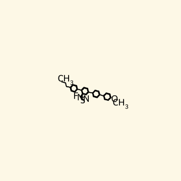 CCCCc1ccc(-c2ccc(-c3ccc(-c4ccc(OC)cc4)cc3)c3nsnc23)c(F)c1